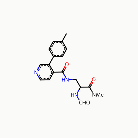 CNC(=O)C(CNC(=O)c1ccncc1-c1ccc(C)cc1)NC=O